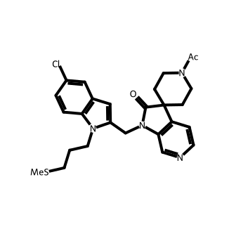 CSCCCn1c(CN2C(=O)C3(CCN(C(C)=O)CC3)c3ccncc32)cc2cc(Cl)ccc21